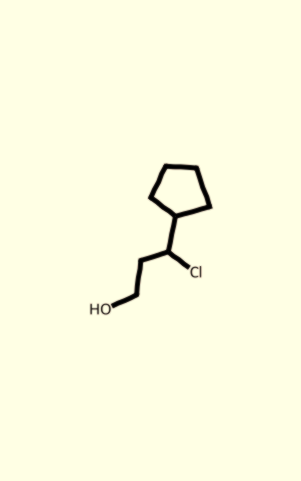 OCCC(Cl)C1CCCC1